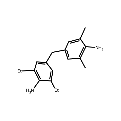 CCc1cc(Cc2cc(C)c(N)c(C)c2)cc(CC)c1N